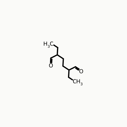 CCC(C=O)CCC(C=O)CC